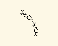 CC(C)C(=O)N1CCC2(CCC(CCNC(=O)CN3CCC(C(C)C)CC3)CC2)CC1